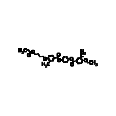 C=CC(=O)OCCCCOc1ccc(C(=O)Oc2ccc(OC(=O)c3ccc(OCC)c(C)c3)cc2)cc1C